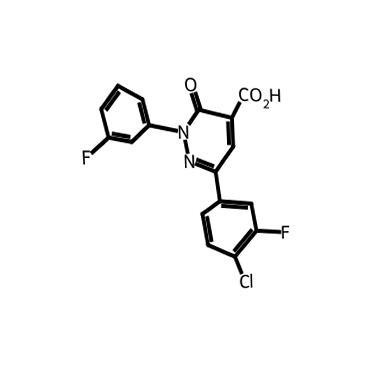 O=C(O)c1cc(-c2ccc(Cl)c(F)c2)nn(-c2cccc(F)c2)c1=O